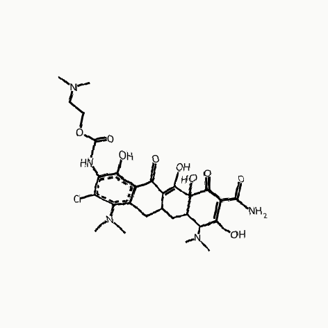 CN(C)CCOC(=O)Nc1c(O)c2c(c(N(C)C)c1Cl)CC1CC3C(N(C)C)C(O)=C(C(N)=O)C(=O)C3(O)C(O)=C1C2=O